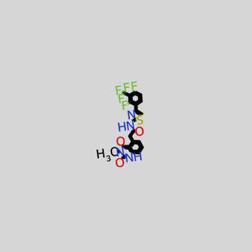 Cn1c(=O)[nH]c2cccc(CC(=O)Nc3nc(-c4ccc(F)c(C(F)(F)F)c4F)cs3)c2c1=O